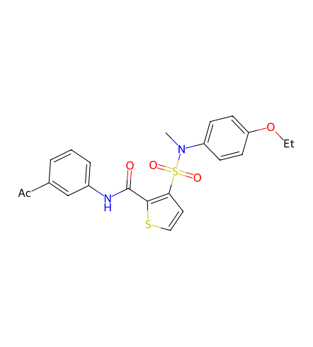 CCOc1ccc(N(C)S(=O)(=O)c2ccsc2C(=O)Nc2cccc(C(C)=O)c2)cc1